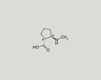 CN[C@@H]1CCC[C@H]1C(=O)O